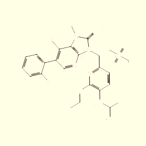 CCOc1nc([C@@H](CS(C)(=O)=O)n2c(=O)n(C)c3c(C)c(-c4ccccc4F)cnc32)ccc1OC(F)F